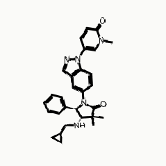 Cn1cc(-n2ncc3cc(N4C(=O)C(C)(C)[C@H](NCC5CC5)[C@H]4c4ccccc4)ccc32)ccc1=O